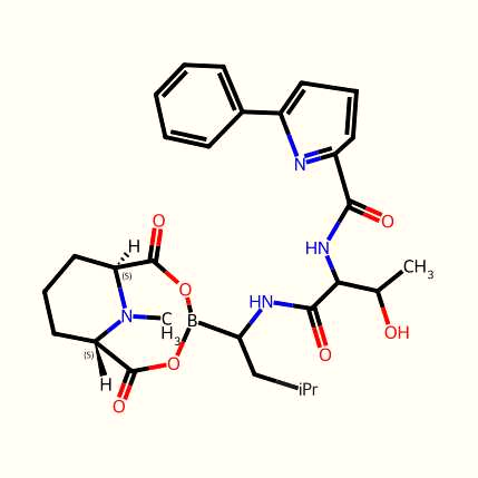 CC(C)CC(NC(=O)C(NC(=O)c1cccc(-c2ccccc2)n1)C(C)O)B1OC(=O)[C@@H]2CCC[C@@H](C(=O)O1)N2C